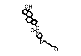 CN(CCCCC=O)C1CCN(C(=O)Oc2ccc3c(c2)CCC2C3CCC3(C)C(O)CCC23)CC1